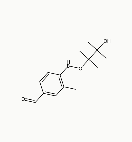 Cc1cc(C=O)ccc1BOC(C)(C)C(C)(C)O